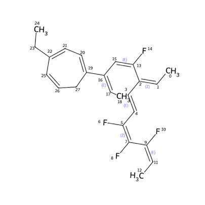 C/C=C(/C=C/C(F)=C(F)\C(F)=C/C)C(\F)=C/C(=C\C)C1=CC=C(CC)C=CC1